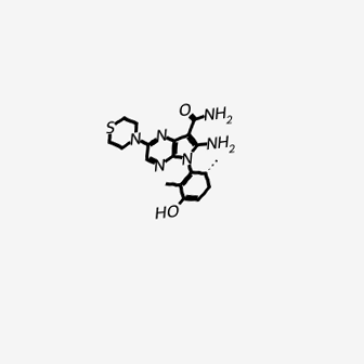 CC1=C(n2c(N)c(C(N)=O)c3nc(N4CCSCC4)cnc32)[C@H](C)CC=C1O